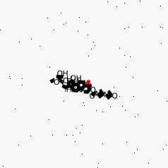 CCO[C@@H]([C@H]1C[C@@H](C)[C@H]2[C@H](O1)[C@H](O)[C@@]1(C)[C@@H]3CC[C@H]4C(C)(C)[C@@H](OC(=O)N5CC(N6CC(OC)C6)C5)CC[C@@]45C[C@@]35CC[C@]21C)C(C)(C)O